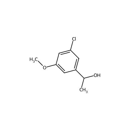 COc1cc(Cl)cc(C(C)O)c1